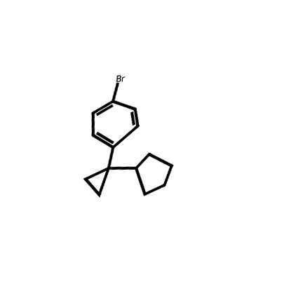 Brc1ccc(C2(C3CCCC3)CC2)cc1